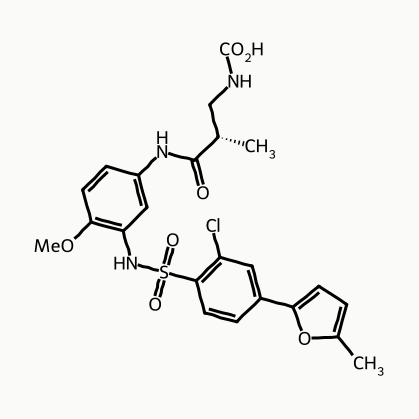 COc1ccc(NC(=O)[C@@H](C)CNC(=O)O)cc1NS(=O)(=O)c1ccc(-c2ccc(C)o2)cc1Cl